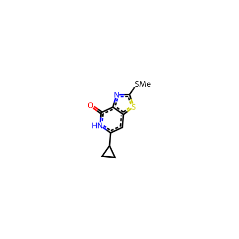 CSc1nc2c(=O)[nH]c(C3CC3)cc2s1